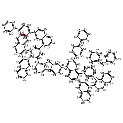 c1ccc(-c2ccc(-c3ccc4cccc(-c5nc(-c6c(-c7ccc8ccccc8c7)ccc7ccccc67)nc(-c6cccc7c6sc6cc(-c8cc(-c9ccc(-c%10ccccc%10)cc9)cc9c(-c%10nc(-c%11c(-c%12cccc%13ccccc%12%13)ccc%12ccccc%11%12)nc(-c%11cccc%12c%11sc%11ccccc%11%12)n%10)cccc89)ccc67)n5)c4c3)cc2)cc1